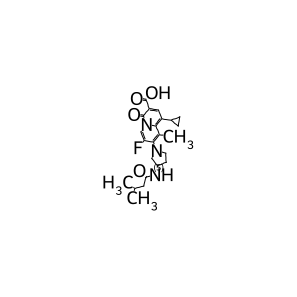 Cc1c(N2CC[C@H](NC(=O)CC(C)C)C2)c(F)cn2c(=O)c(C(=O)O)cc(C3CC3)c12